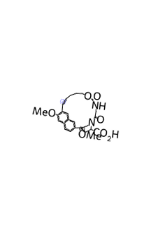 COc1cc2ccc3cc2cc1/C=C\CCCOC(=O)NCC(=O)N1C[C@@]3(OC)CC1C(=O)O